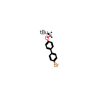 CC(C)(C)[Si](C)(C)Oc1ccc(-c2ccc(Br)cc2)cc1